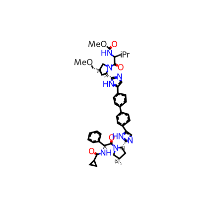 COC[C@H]1C[C@@H](c2ncc(-c3ccc(-c4ccc(-c5cnc([C@@H]6C[C@H](C)CN6C(=O)[C@H](NC(=O)C6CC6)c6ccccc6)[nH]5)cc4)cc3)[nH]2)N(C(=O)C(NC(=O)OC)C(C)C)C1